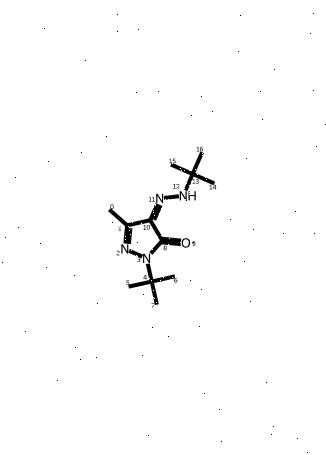 CC1=NN(C(C)(C)C)C(=O)/C1=N\NC(C)(C)C